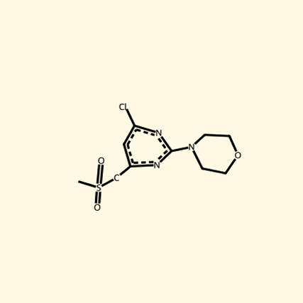 CS(=O)(=O)Cc1cc(Cl)nc(N2CCOCC2)n1